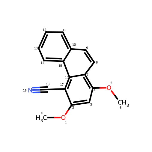 COc1cc(OC)c2ccc3ccccc3c2c1C#N